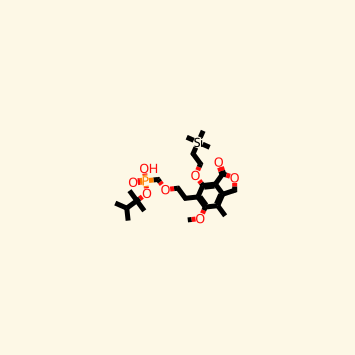 COc1c(C)c2c(c(OCC[Si](C)(C)C)c1CCOCP(=O)(O)OC(C)(C)C(C)C)C(=O)OC2